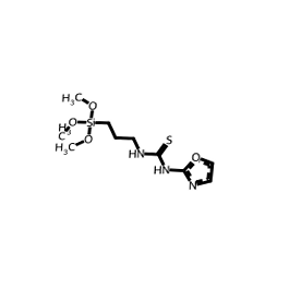 CO[Si](CCCNC(=S)Nc1ncco1)(OC)OC